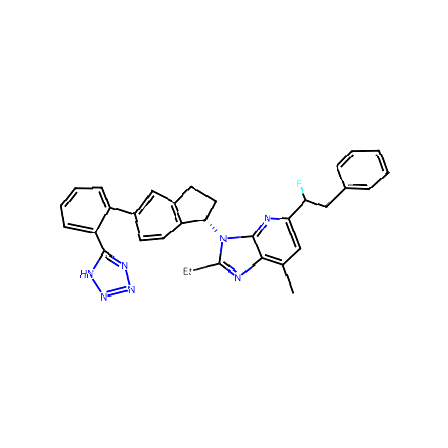 CCc1nc2c(C)cc(C(F)Cc3ccccc3)nc2n1[C@H]1CCc2cc(-c3ccccc3-c3nnn[nH]3)ccc21